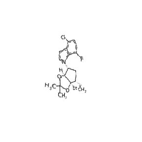 C=C[C@H]1C[C@@H](n2ccc3c(Cl)ccc(F)c32)[C@@H]2OC(C)(C)O[C@]12CC